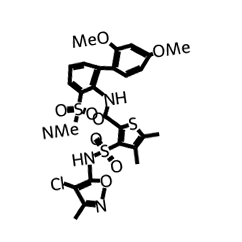 CNS(=O)(=O)c1cccc(-c2ccc(OC)cc2OC)c1NC(=O)c1sc(C)c(C)c1S(=O)(=O)Nc1onc(C)c1Cl